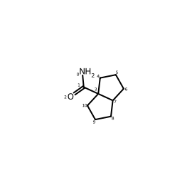 NC(=O)C12CCCC1CCC2